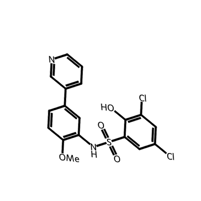 COc1ccc(-c2cccnc2)cc1NS(=O)(=O)c1cc(Cl)cc(Cl)c1O